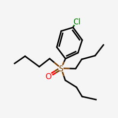 CCCCS(=O)(CCCC)(CCCC)c1ccc(Cl)cc1